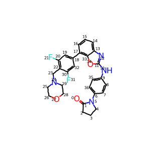 O=C1CCCN1c1ccc(Nc2nc3cccc(-c4cc(F)c(CN5CCOCC5)c(F)c4)c3o2)cc1